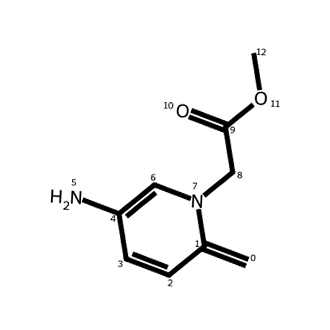 C=C1C=CC(N)=CN1CC(=O)OC